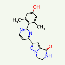 Cc1cc(O)cc(C)c1-c1nccc(-c2cc3n(n2)CCNC3=O)n1